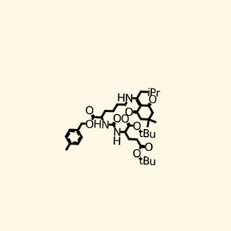 Cc1ccc(COC(=O)C(CCCCNC(CC(C)C)=C2C(=O)CC(C)(C)CC2=O)NC(=O)NC(CCC(=O)OC(C)(C)C)C(=O)OC(C)(C)C)cc1